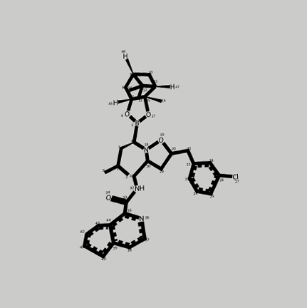 CC(C)C[C@@H](B1O[C@@H]2C[C@@H]3C[C@@H](C3(C)C)[C@]2(C)O1)N1OC(Cc2cccc(Cl)c2)CC1CNC(=O)c1nccc2ccccc12